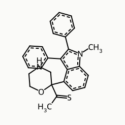 CC(=S)C1(c2cccc3c2c(-c2ccccc2)c(-c2ccccc2)n3C)CNCCO1